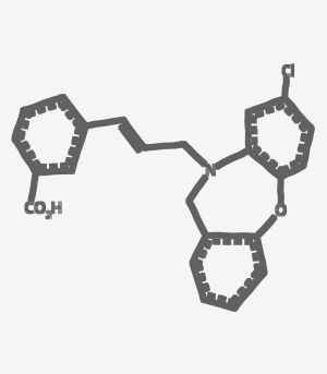 O=C(O)c1cccc(C=CCN2Cc3ccccc3Oc3ccc(Cl)cc32)c1